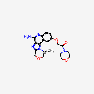 C[C@H]1COCc2nc3c(N)nc4ccc(OCC(=O)N5CCOCC5)cc4c3n21